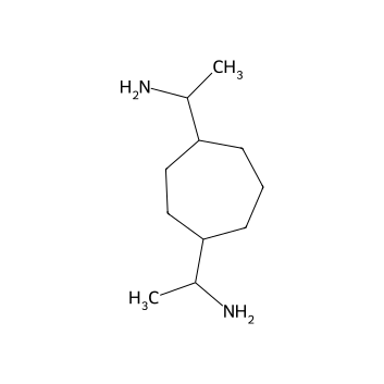 CC(N)C1CCCC(C(C)N)CC1